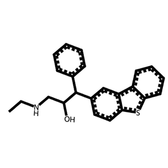 CCNCC(O)C(c1ccccc1)c1ccc2sc3ccccc3c2c1